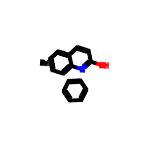 Oc1ccc2ccccc2n1.[BeH2].c1ccccc1